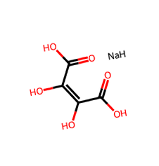 O=C(O)/C(O)=C(/O)C(=O)O.[NaH]